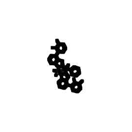 Cc1cccc(-c2cccc3c2C=C2[CH]3[Hf]([CH3])([CH3])[CH]3C(=Cc4c(-c5cccc(C)c5C)cccc43)[Si]2(C)c2ccccc2)c1C